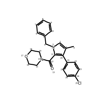 Cc1cn(Cc2ccccc2)c(C(=O)N2CCOCC2)c1-c1ccc(Cl)cc1